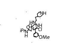 COc1cccc(C2=C(Cl)NC(NCCC3CCNCC3)C(=O)N2CC(=O)NC(C)C)c1